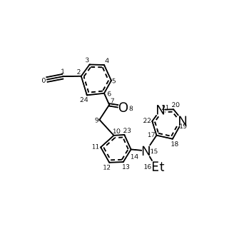 C#Cc1cccc(C(=O)Cc2cccc(N(CC)c3cncnc3)c2)c1